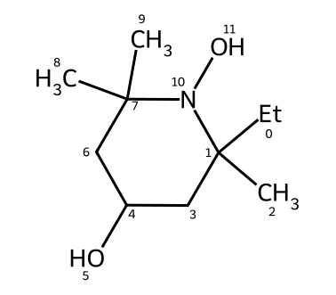 CCC1(C)CC(O)CC(C)(C)N1O